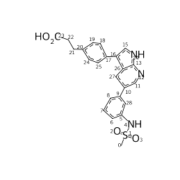 CS(=O)(=O)Nc1cccc(-c2cnc3[nH]cc(-c4ccc(CCC(=O)O)cc4)c3c2)c1